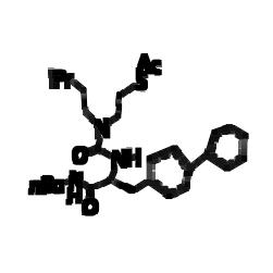 CCCCNC(=O)[C@H](Cc1ccc(-c2ccccc2)cc1)NC(=O)N(CCSC(C)=O)CCC(C)C